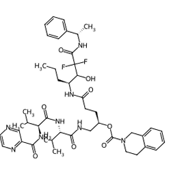 CCC[C@H](NC(=O)CC[C@H](CNC(=O)[C@@H](NC(=O)[C@@H](NC(=O)c1cnccn1)C(C)C)C(C)C)OC(=O)N1CCc2ccccc2C1)C(O)C(F)(F)C(=O)N[C@@H](C)c1ccccc1